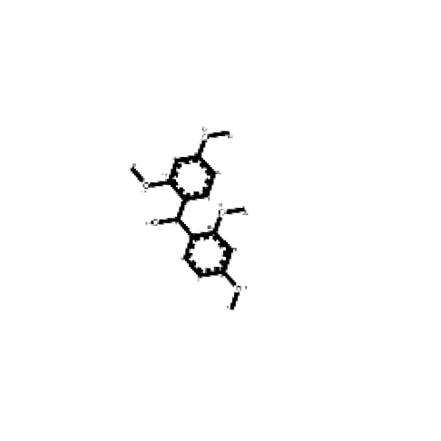 COc1ccc(C([O])c2ccc(OC)cc2OC)c(OC)c1